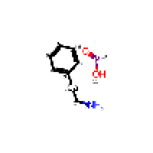 N[CH2][Ca][c]1ccccc1.O=PO